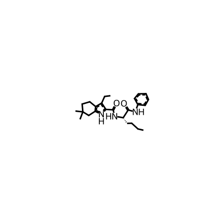 CCCC[C@H](NC(=O)c1[nH]c2c(c1CC)CCC(C)(C)C2)C(=O)Nc1ccccc1